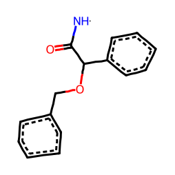 [NH]C(=O)C(OCc1ccccc1)c1ccccc1